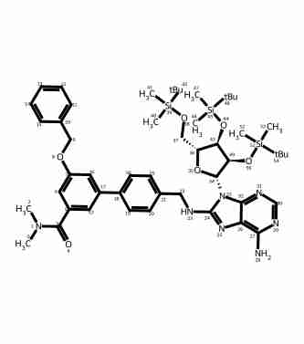 CN(C)C(=O)c1cc(OCc2ccccc2)cc(-c2ccc(CNc3nc4c(N)ncnc4n3[C@@H]3O[C@H](CO[Si](C)(C)C(C)(C)C)[C@@H](O[Si](C)(C)C(C)(C)C)[C@H]3O[Si](C)(C)C(C)(C)C)cc2)c1